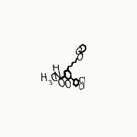 CNC(=O)C1=CC(CCCCCOC2CCCCO2)=CC(c2ccc(Cl)c(Cl)c2)C1=O